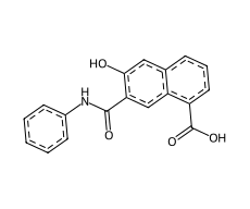 O=C(Nc1ccccc1)c1cc2c(C(=O)O)cccc2cc1O